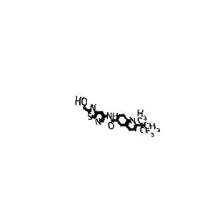 CC(C)(c1ccc2c(n1)CCC(C(=O)Nc1cnc3sc(CO)nc3c1)C2)C(F)(F)F